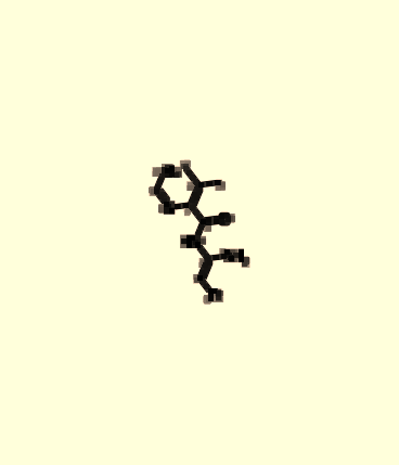 CC/C=C(\N)NC(=O)C(/N=C\C(C)CC)=C(C)C